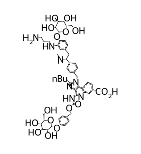 CCCCc1nc2c(NC(=O)OCc3ccc(O[C@H]4O[C@H](CO)[C@@H](O)[C@H](O)[C@@H]4O)cc3)nc3cc(C(=O)O)ccc3c2n1Cc1ccc(C(Cc2ccc(O[C@H]3O[C@H](CO)[C@@H](O)[C@H](O)[C@@H]3O)c(NCCCN)c2)N(C)C)cc1